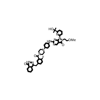 COCCn1c(=O)c2cnc(Nc3ccc(N4CCN(C(=O)c5cc(Cc6n[nH]c(=O)c7ccccc67)ccc5F)CC4)cc3)nc2n1-c1cccc(C(C)(C)O)n1